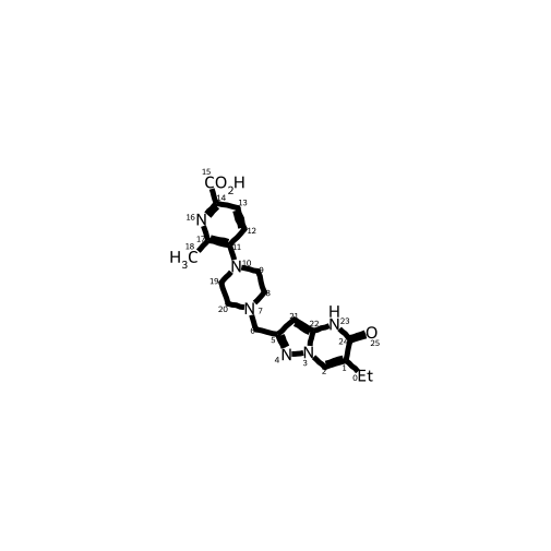 CCc1cn2nc(CN3CCN(c4ccc(C(=O)O)nc4C)CC3)cc2[nH]c1=O